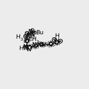 Cc1cc(-c2n[nH]c3ncc(-c4ccc(N5CC6CC5CN6CCc5ccc(C6CCC(=O)NC6=O)cc5)cn4)cc23)ccc1[C@@H](C)NC(=O)c1noc(C(C)(C)C)n1